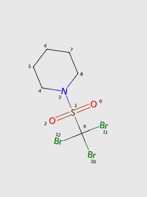 O=S(=O)(N1CCCCC1)C(Br)(Br)Br